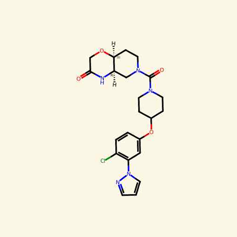 O=C1CO[C@H]2CCN(C(=O)N3CCC(Oc4ccc(Cl)c(-n5cccn5)c4)CC3)C[C@H]2N1